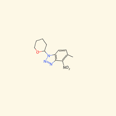 Cc1ccc2c(nnn2C2CCCCO2)c1[N+](=O)[O-]